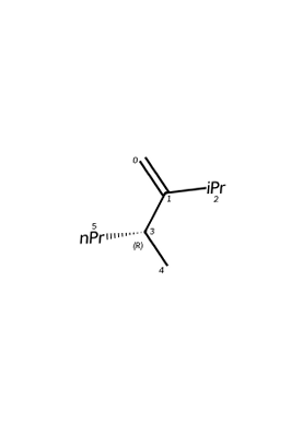 C=C(C(C)C)[C@H](C)CCC